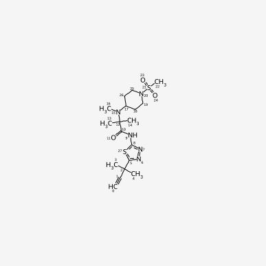 C#CC(C)(C)c1nnc(NC(=O)C(C)(C)N(C)C2CCN(S(C)(=O)=O)CC2)s1